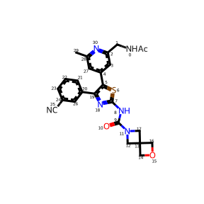 CC(=O)NCc1cc(-c2sc(NC(=O)N3CC4(COC4)C3)nc2-c2cccc(C#N)c2)cc(C)n1